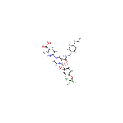 CCCc1ccc(CNC(=O)C2CN(c3ccc(C(=O)O)c(C)n3)CCN2S(=O)(=O)c2ccc(OC(F)(F)F)cc2)cc1